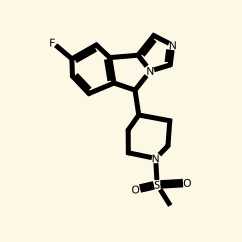 CS(=O)(=O)N1CCC(C2c3ccc(F)cc3-c3cncn32)CC1